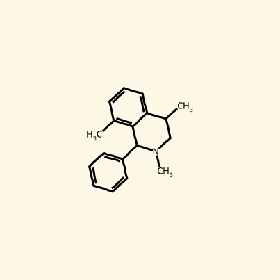 Cc1cccc2c1C(c1ccccc1)N(C)CC2C